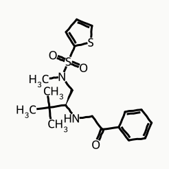 CN(C[C@@H](NCC(=O)c1ccccc1)C(C)(C)C)S(=O)(=O)c1cccs1